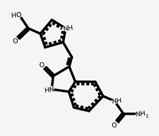 NC(=O)Nc1ccc2c(c1)/C(=C/c1cc(C(=O)O)c[nH]1)C(=O)N2